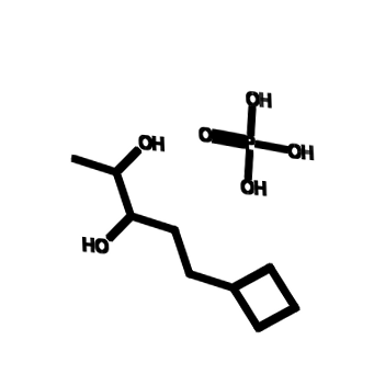 CC(O)C(O)CCC1CCC1.O=P(O)(O)O